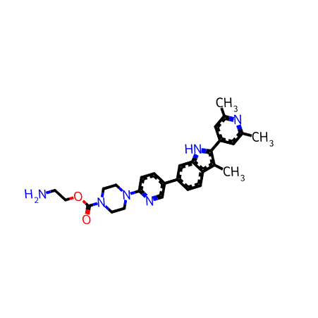 Cc1cc(-c2[nH]c3cc(-c4ccc(N5CCN(C(=O)OCCN)CC5)nc4)ccc3c2C)cc(C)n1